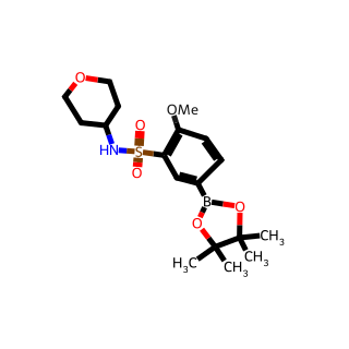 COc1ccc(B2OC(C)(C)C(C)(C)O2)cc1S(=O)(=O)NC1CCOCC1